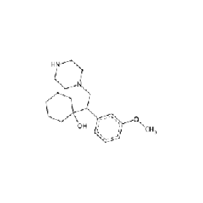 COc1cccc(C(CN2CCNCC2)C2(O)CCCCC2)c1